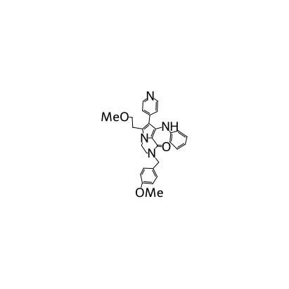 COCCc1c(-c2ccncc2)c(Nc2ccccc2)c2n1CCN(Cc1ccc(OC)cc1)C2=O